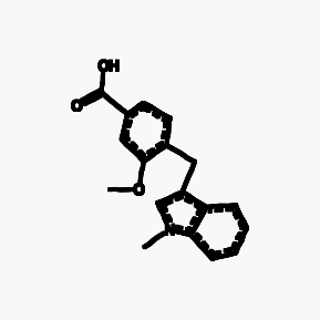 COc1cc(C(=O)O)ccc1Cc1cn(C)c2ccccc12